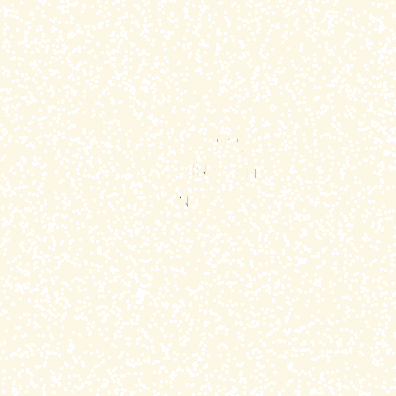 CC(NC(=O)N(c1ccccc1)c1ccccc1)C(=O)O